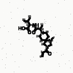 C=CC(=O)N1CN(C)C2(CCN(C(C)C(=O)N[C@H](C(=O)O)C(C)C)CC2)C1